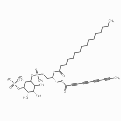 CC#CC#CC#CC#CC(=O)OC[C@H](COP(=O)(O)OC1C(O)[C@H](O)[C@H](O)C(OP(=O)(O)O)[C@@H]1O)OC(=O)CCCCCCCCCCCCCCC